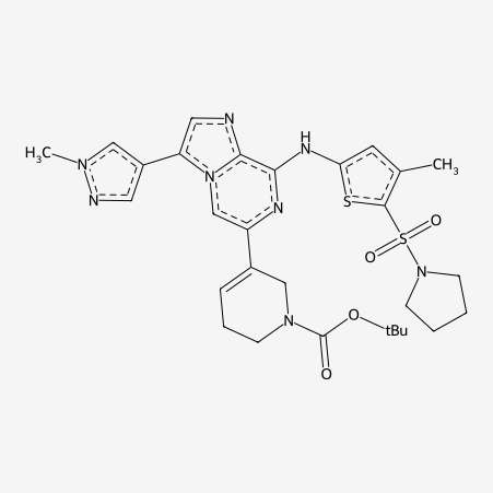 Cc1cc(Nc2nc(C3=CCCN(C(=O)OC(C)(C)C)C3)cn3c(-c4cnn(C)c4)cnc23)sc1S(=O)(=O)N1CCCC1